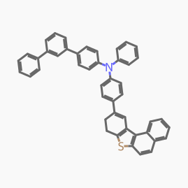 C1=C(c2ccc(N(c3ccccc3)c3ccc(-c4cccc(-c5ccccc5)c4)cc3)cc2)CCc2sc3ccc4ccccc4c3c21